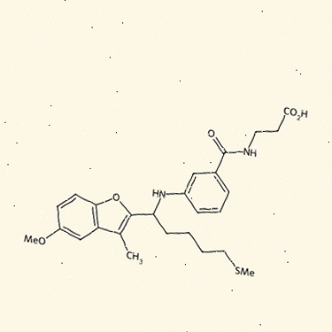 COc1ccc2oc(C(CCCCSC)Nc3cccc(C(=O)NCCC(=O)O)c3)c(C)c2c1